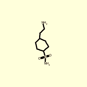 NCCC1CCC(S(N)(=O)=O)CC1